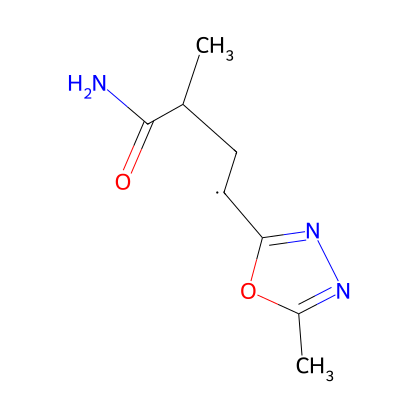 Cc1nnc([CH]CC(C)C(N)=O)o1